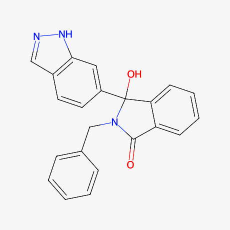 O=C1c2ccccc2C(O)(c2ccc3cn[nH]c3c2)N1Cc1ccccc1